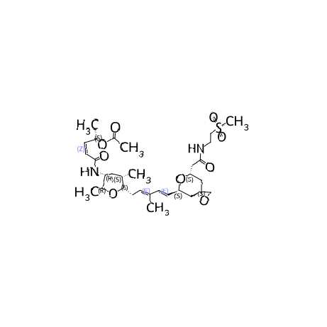 CC(=O)O[C@@H](C)/C=C\C(=O)N[C@@H]1C[C@H](C)[C@H](C/C=C(C)/C=C/[C@@H]2C[C@]3(CO3)C[C@@H](CC(=O)NCCS(C)(=O)=O)O2)O[C@@H]1C